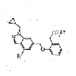 CCOC(=O)Cc1ccccc1OCc1cc(Br)c2cnn(CC3CC3)c2c1